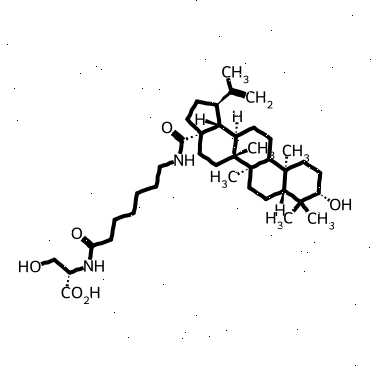 C=C(C)[C@@H]1CC[C@]2(C(=O)NCCCCCCC(=O)N[C@@H](CO)C(=O)O)CC[C@]3(C)[C@H](CCC4[C@@]5(C)CC[C@H](O)C(C)(C)[C@@H]5CC[C@]43C)[C@@H]12